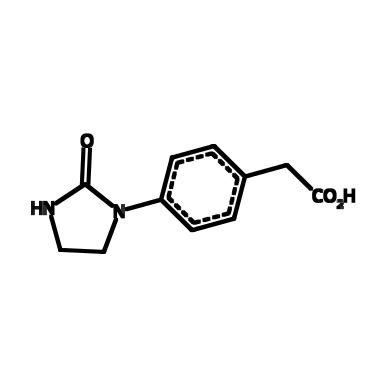 O=C(O)Cc1ccc(N2CCNC2=O)cc1